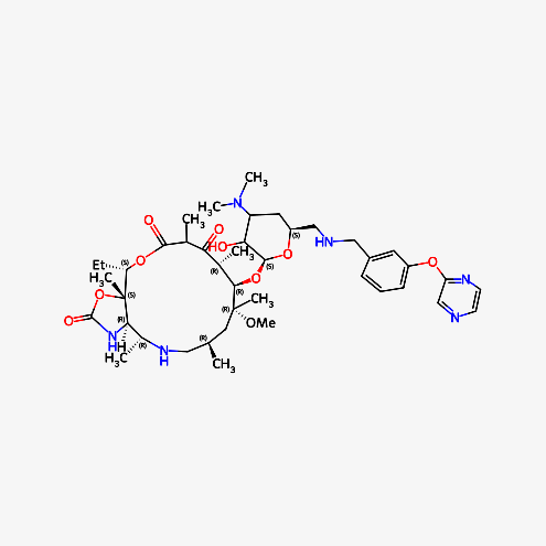 CC[C@@H]1OC(=O)C(C)C(=O)[C@H](C)[C@@H](O[C@@H]2O[C@H](CNCc3cccc(Oc4cnccn4)c3)CC(N(C)C)C2O)[C@](C)(OC)C[C@@H](C)CN[C@H](C)[C@H]2NC(=O)O[C@]12C